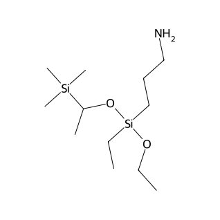 CCO[Si](CC)(CCCN)OC(C)[Si](C)(C)C